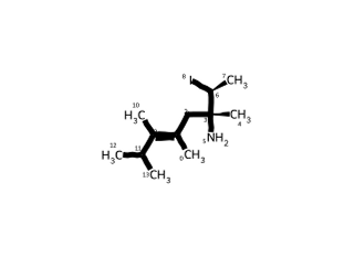 C/C(C[C@@](C)(N)[C@H](C)I)=C(/C)C(C)C